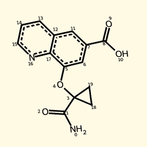 NC(=O)C1(Oc2cc(C(=O)O)cc3cccnc23)CC1